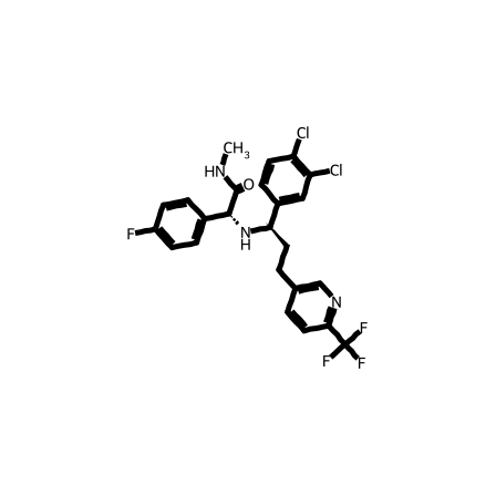 CNC(=O)[C@H](N[C@H](CCc1ccc(C(F)(F)F)nc1)c1ccc(Cl)c(Cl)c1)c1ccc(F)cc1